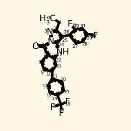 CCc1nn2c(=O)c3ccc(-c4ccc(C(F)(F)F)cc4)cc3[nH]c2c1-c1ccc(F)cc1F